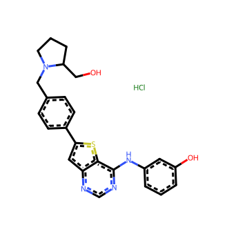 Cl.OCC1CCCN1Cc1ccc(-c2cc3ncnc(Nc4cccc(O)c4)c3s2)cc1